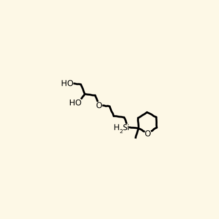 CC1([SiH2]CCCOCC(O)CO)CCCCO1